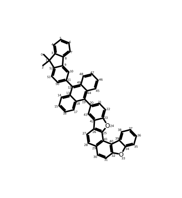 CC1(C)c2ccccc2-c2cc(-c3c4ccccc4c(-c4ccc5oc6c(ccc7ccc8oc9ccccc9c8c76)c5c4)c4ccccc34)ccc21